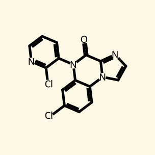 O=c1c2nccn2c2ccc(Cl)cc2n1-c1cccnc1Cl